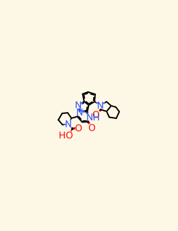 O=C1C2CCCCC2CN1c1cccc2nn3c(C4CCCCN4C(=O)O)cc(=O)[nH]c3c12